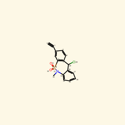 C#Cc1ccc2c(c1)S(=O)(=O)N(C)c1ccccc1C2Cl